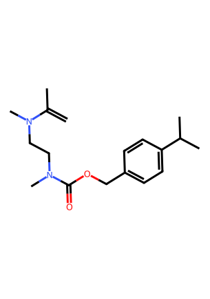 C=C(C)N(C)CCN(C)C(=O)OCc1ccc(C(C)C)cc1